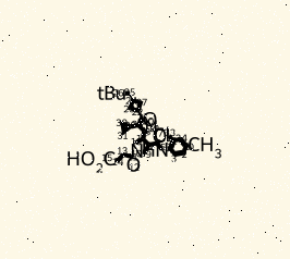 Cc1ccc(NC(=O)C2CN(C(=O)CCC(=O)O)CC2c2noc([C@H]3C[C@@H](CC(C)(C)C)C3)c2C2CC2)c(Cl)c1